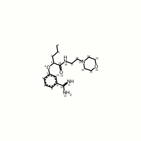 CCCC(Oc1cccc(C(=N)N)c1)C(=O)NCCN1CCOCC1